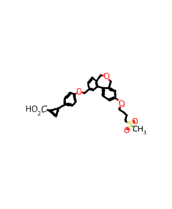 CS(=O)(=O)CCCOc1ccc2c(c1)COCc1ccc(COc3ccc(C4CC4C(=O)O)cc3)cc1-2